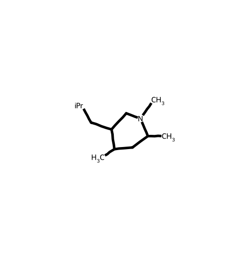 CC(C)CC1CN(C)C(C)CC1C